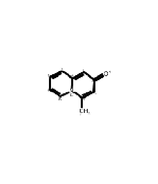 Cc1cc(=O)cc2ccccn12